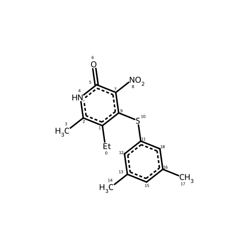 CCc1c(C)[nH]c(=O)c([N+](=O)[O-])c1Sc1cc(C)cc(C)c1